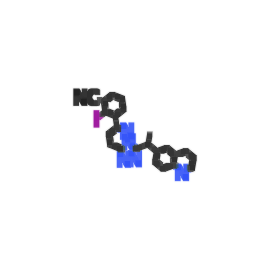 CC(c1ccc2ncccc2c1)c1nnc2ccc(-c3cccc(C#N)c3I)nn12